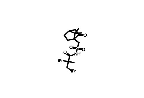 CC(C)CC(C)(C(=O)NS(=O)(=O)CC12CCC(CC1=O)C2(C)C)C(C)C